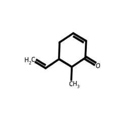 C=CC1CC=CC(=O)C1C